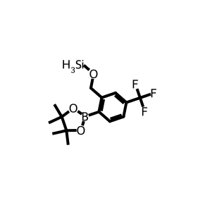 CC1(C)OB(c2ccc(C(F)(F)F)cc2CO[SiH3])OC1(C)C